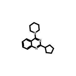 c1ccc2c(N3CCCCC3)nc(C3CCCC3)nc2c1